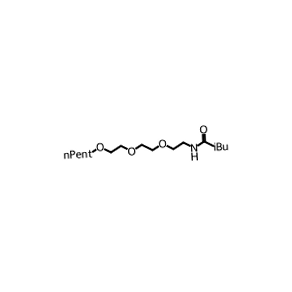 CCCCCOCCOCCOCCNC(=O)C(C)CC